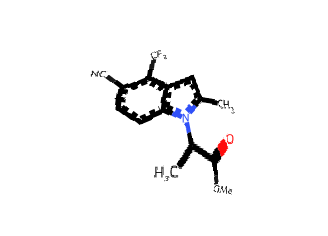 COC(=O)C(C)n1c(C)cc2c(C(F)(F)F)c(C#N)ccc21